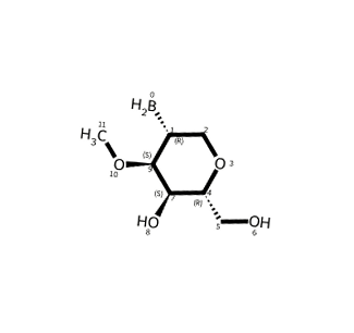 B[C@@H]1CO[C@H](CO)[C@@H](O)[C@H]1OC